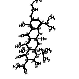 CCNCc1cc(N(C)C)c2c(c1O)C(=O)C1=C(O)[C@]3(O)C(=O)C(C(N)=O)C(O)[C@@H](N(C)C)[C@@H]3C[C@@H]1C2